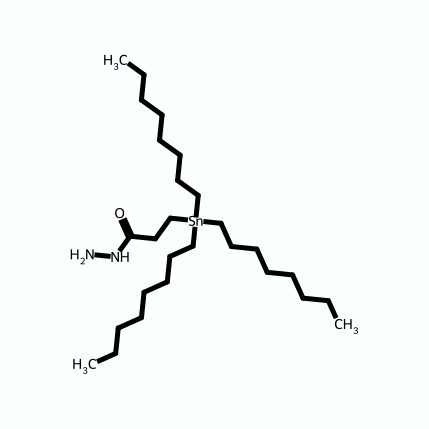 CCCCCCC[CH2][Sn]([CH2]CCCCCCC)([CH2]CCCCCCC)[CH2]CC(=O)NN